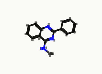 CCCCNc1nc(-c2ccccc2)nc2ccccc12